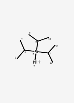 CC(C)[Si]([NH])(C(C)C)C(C)C